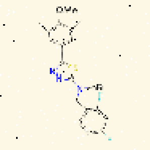 CCCCN(Cc1ccc(F)cc1F)c1nnc(-c2cc(C)c(OC)c(C)c2)s1